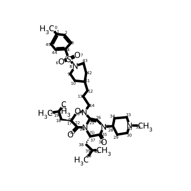 Cc1ccc(S(=O)(=O)N2CCC(CCCN3O[C@H](CC(C)C)C(=O)N4C3=CN(C3CCN(C)CC3)C(=O)[C@@H]4CC(C)C)CC2)cc1